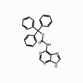 O=C(Nc1ncnc2[nH]cnc12)OC(c1ccccc1)(c1ccccc1)c1ccccc1